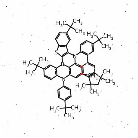 Cc1cc2c3c(c1)N(c1ccc(C(C)(C)C)cc1-c1ccc4c(c1)C(C)(C)CC4(C)C)c1c(sc4ccc(C(C)(C)C)cc14)B3c1cc(C(C)(C)C)ccc1N2c1ccc(C(C)(C)C)cc1